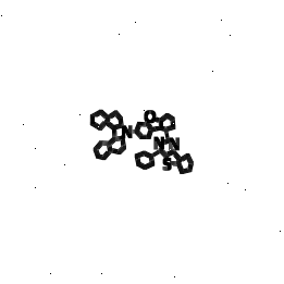 c1ccc(-c2nc(-c3cccc4oc5cc(-n6c7ccc8ccccc8c7c7c8ccccc8ccc76)ccc5c34)nc3c2sc2ccccc23)cc1